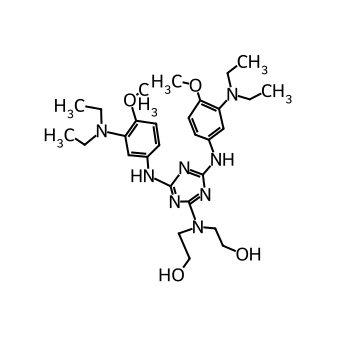 CCN(CC)c1cc(Nc2nc(Nc3ccc(OC)c(N(CC)CC)c3)nc(N(CCO)CCO)n2)ccc1OC